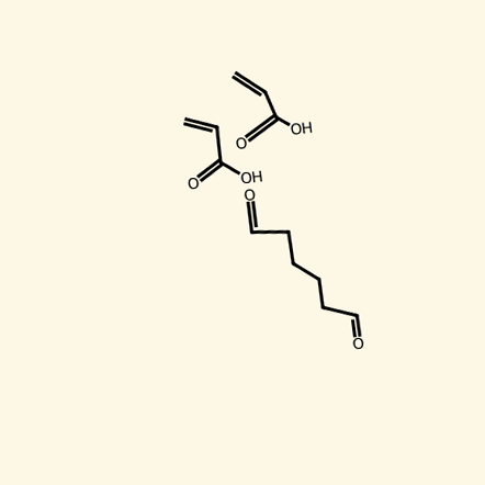 C=CC(=O)O.C=CC(=O)O.O=CCCCCC=O